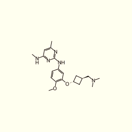 CNc1cc(C)nc(Nc2ccc(OC)c(O[C@H]3C[C@H](CN(C)C)C3)c2)n1